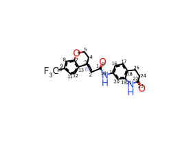 O=C(/C=C1\CCOc2cc(C(F)(F)F)ccc21)Nc1ccc2c(c1)NC(=O)CC2